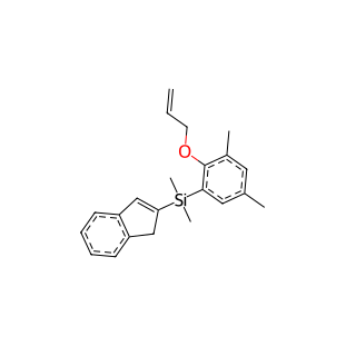 C=CCOc1c(C)cc(C)cc1[Si](C)(C)C1=Cc2ccccc2C1